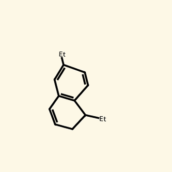 CC[C]1CC=Cc2cc(CC)ccc21